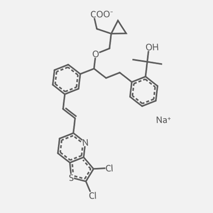 CC(C)(O)c1ccccc1CCC(OCC1(CC(=O)[O-])CC1)c1cccc(/C=C/c2ccc3sc(Cl)c(Cl)c3n2)c1.[Na+]